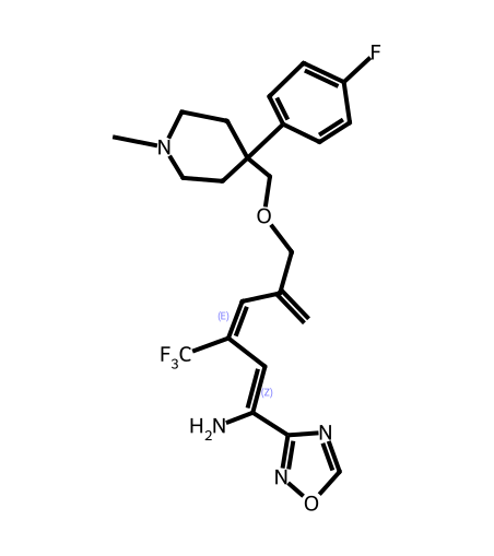 C=C(/C=C(\C=C(/N)c1ncon1)C(F)(F)F)COCC1(c2ccc(F)cc2)CCN(C)CC1